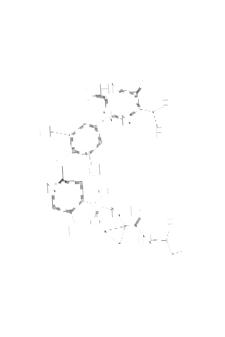 O=C(NC(F)CF)C1(NS(=O)(=O)c2cc(Oc3c(Cl)cc(-n4nc(C(F)F)c(=O)[nH]c4=O)cc3Cl)ncc2O)CC1